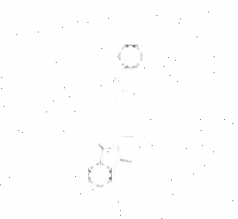 CC(CCCCNc1ccc(Cl)cc1)N1C(=O)c2ccccc2C1=O